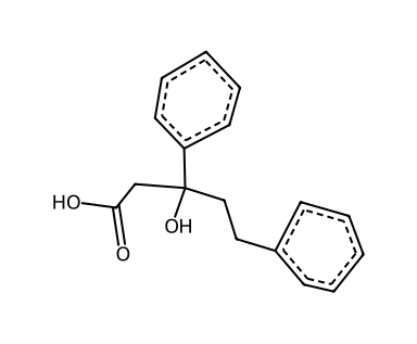 O=C(O)CC(O)(CCc1ccccc1)c1ccccc1